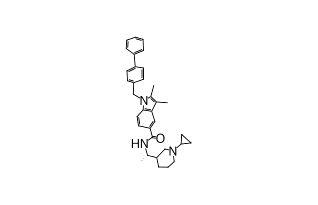 Cc1c(C)n(Cc2ccc(-c3ccccc3)cc2)c2ccc(C(=O)N[C@@H](C)C3CCCN(C4CC4)C3)cc12